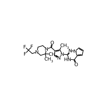 Cc1c(C(=O)N2CCN(CC(F)(F)F)CC2(C)C)cnn1-c1nn2cccc2c(=O)[nH]1